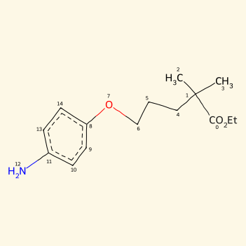 CCOC(=O)C(C)(C)CCCOc1ccc(N)cc1